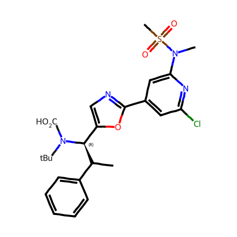 CC(c1ccccc1)[C@H](c1cnc(-c2cc(Cl)nc(N(C)S(C)(=O)=O)c2)o1)N(C(=O)O)C(C)(C)C